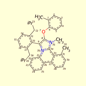 Cc1ccccc1Oc1c(-c2c(CC(C)C)cccc2CC(C)C)n2c3ccccc3c3cccc(C)c3c2[n+]1C